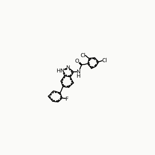 O=C(Nc1n[nH]c2cc(-c3ccccc3F)ccc12)c1ccc(Cl)cc1Cl